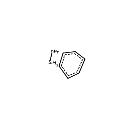 CCC[SiH3].c1ccccc1